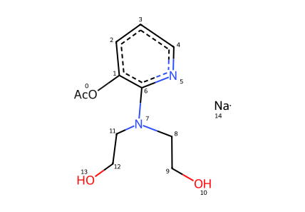 CC(=O)Oc1cccnc1N(CCO)CCO.[Na]